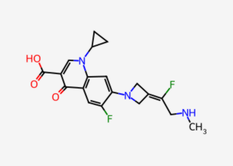 CNCC(F)=C1CN(c2cc3c(cc2F)c(=O)c(C(=O)O)cn3C2CC2)C1